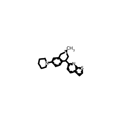 CN1Cc2cc(N3CCCCC3)ccc2C(c2ccc3ccsc3n2)C1